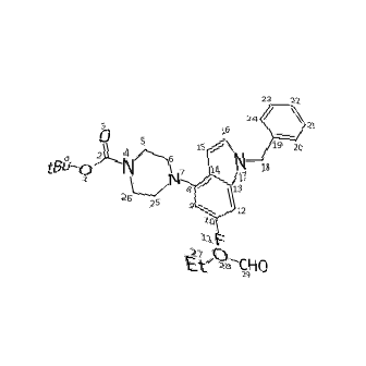 CC(C)(C)OC(=O)N1CCN(c2cc(F)cc3c2ccn3Cc2ccccc2)CC1.CCOC=O